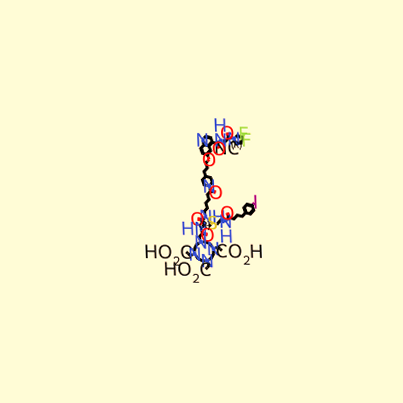 N#C[C@H]1CC(F)(F)CN1C(=O)CNC(=O)c1ccnc2ccc(OCCCC3CCN(C(=O)CCCCCNC(=O)[C@H](CSCCNC(=O)CCCc4ccc(I)cc4)NC(=O)CN4CCN(CC(=O)O)CCN(CC(=O)O)CCN(CC(=O)O)CC4)CC3)cc12